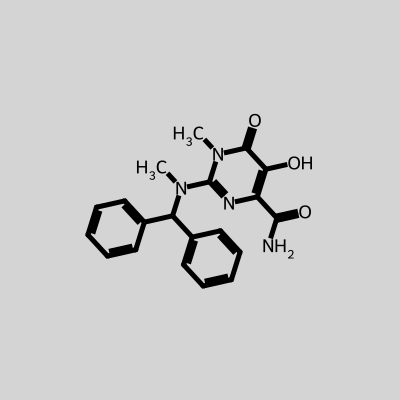 CN(c1nc(C(N)=O)c(O)c(=O)n1C)C(c1ccccc1)c1ccccc1